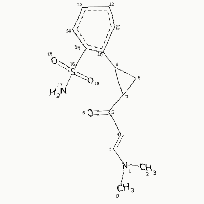 CN(C)/C=C/C(=O)C1CC1c1ccccc1S(N)(=O)=O